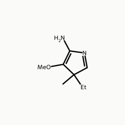 CCC1(C)C=NC(N)=C1OC